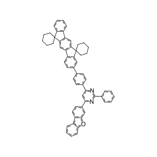 c1ccc(-c2nc(-c3ccc(-c4ccc5c(c4)C4(CCCCC4)c4cc6c(cc4-5)C4(CCCCC4)c4ccccc4-6)cc3)cc(-c3ccc4c(c3)oc3ccccc34)n2)cc1